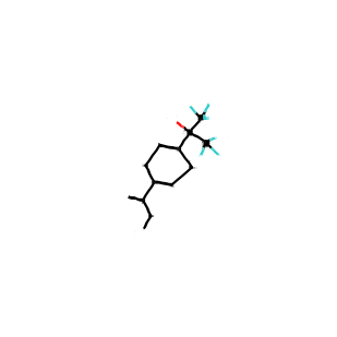 CCC(C)C1CCC(C(O)(C(F)(F)F)C(F)(F)F)CC1